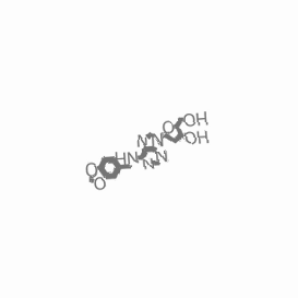 OCC1O[C@@H](n2cnc3c(NCc4ccc5c(c4)OCO5)ncnc32)C[C@H]1O